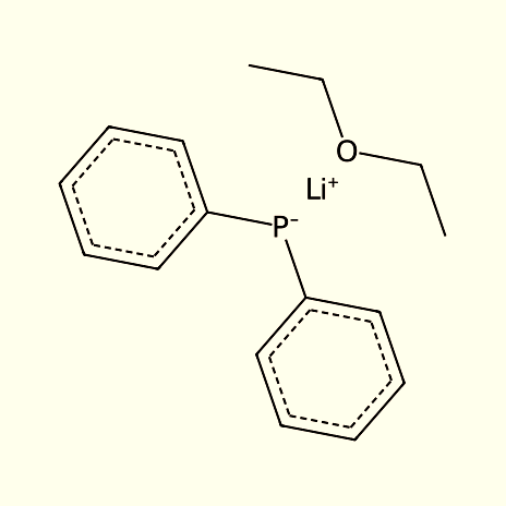 CCOCC.[Li+].c1ccc([P-]c2ccccc2)cc1